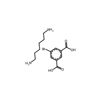 NCCCCCCN.O=C(O)c1cc(Br)cc(C(=O)O)c1